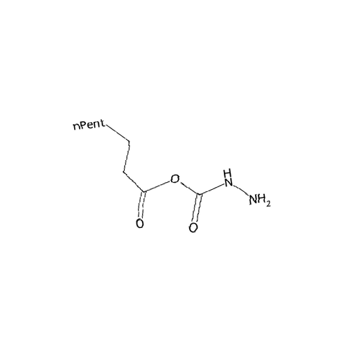 CCCCCCCC(=O)OC(=O)NN